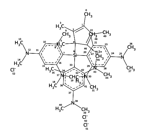 CC1=C(C)C(C)([Si](c2c(C)cc(N(C)C)cc2N(C)C)(c2c(C)cc(N(C)C)cc2N(C)C)c2c(C)cc(N(C)C)cc2N(C)C)[C]([Ti+3])=C1C.[Cl-].[Cl-].[Cl-]